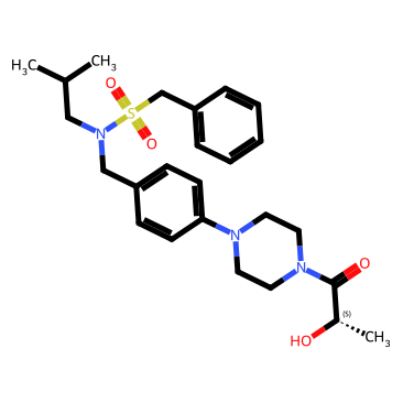 CC(C)CN(Cc1ccc(N2CCN(C(=O)[C@H](C)O)CC2)cc1)S(=O)(=O)Cc1ccccc1